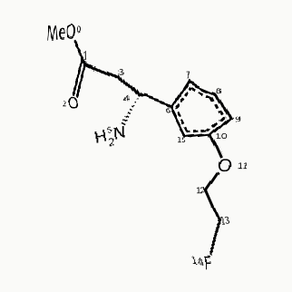 COC(=O)C[C@@H](N)c1cccc(OCCF)c1